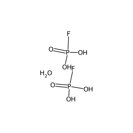 O.O=P(O)(O)F.O=P(O)(O)F